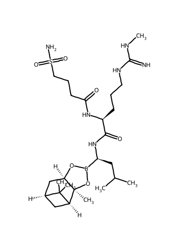 CNC(=N)NCCC[C@H](NC(=O)CCCS(N)(=O)=O)C(=O)N[C@@H](CC(C)C)B1O[C@@H]2C[C@@H]3C[C@@H](C3(C)C)[C@]2(C)O1